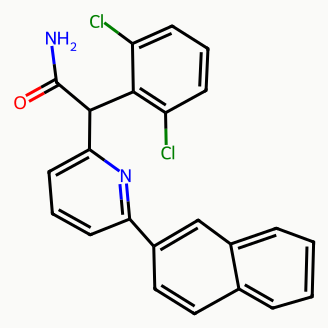 NC(=O)C(c1cccc(-c2ccc3ccccc3c2)n1)c1c(Cl)cccc1Cl